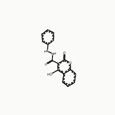 O=C(NNc1ccccc1)c1c(O)c2ccccc2oc1=O